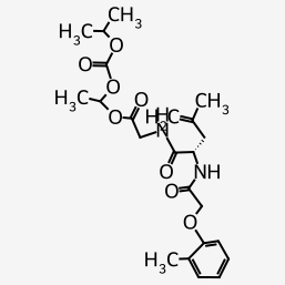 C=C(C)C[C@H](NC(=O)COc1ccccc1C)C(=O)NCC(=O)OC(C)OC(=O)OC(C)C